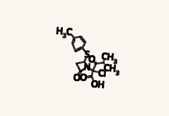 Cc1ccc(SC2CC(=O)N2C(Cl)(C(=O)O)C(=O)C(C)C)cc1